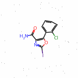 NC(=O)c1nc(I)oc1-c1ccccc1Cl